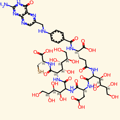 Nc1nc2ncc(CNc3ccc(C(=O)N[C@@H](CCC(=O)NC(C(=O)N[C@@H](CC(=O)O)C(=O)NC(C(=O)N[C@H](C(=O)N[C@H](CS)C(=O)O)[C@@H](O)[C@H](O)[C@H](O)CO)[C@@H](O)[C@H](O)[C@H](O)CO)[C@@H](O)[C@H](O)[C@H](O)CO)C(=O)O)cc3)nc2c(=O)[nH]1